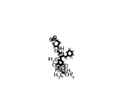 Cc1c(-c2sc(C(=O)NC3CCS(=O)(=O)CC3)nc2CC2CCCCC2)cc(Cl)c(S(=O)(=O)NC(C)(C)C)c1Cl